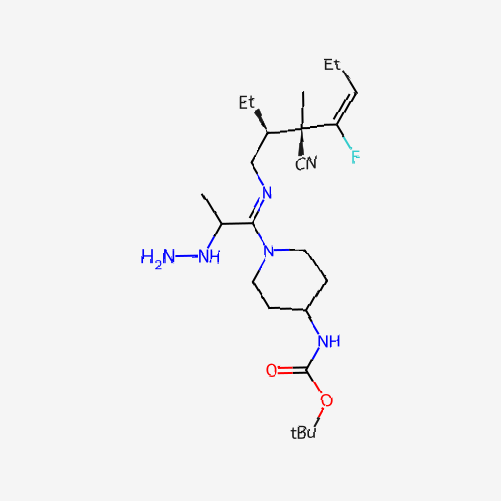 CC/C=C(/F)[C@](C)(C#N)[C@H](CC)C/N=C(\C(C)NN)N1CCC(NC(=O)OC(C)(C)C)CC1